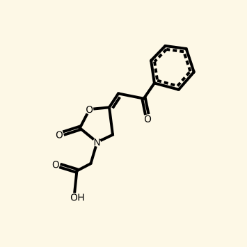 O=C(O)CN1CC(=CC(=O)c2ccccc2)OC1=O